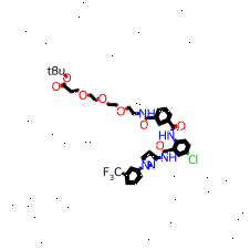 CC(C)(C)OC(=O)CCOCCOCCOCCNC(=O)c1cccc(C(=O)Nc2ccc(Cl)cc2C(=O)Nc2ccn(-c3cccc(C(F)(F)F)c3)n2)c1